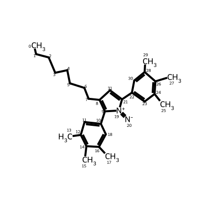 CCCCCCCCC1=C(c2cc(C)c(C)c(C)c2)[N+](=[N-])C(c2cc(C)c(C)c(C)c2)=C1